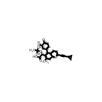 Cc1cc2nc(C#CC3CC3)ccc2c(C2=CC=C(Cl)C(C)C2)c1[C@H](OC(C)(C)C)C(=O)O